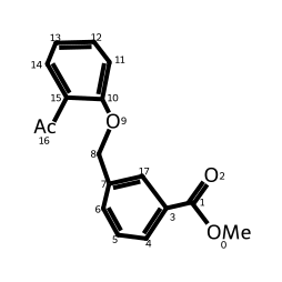 COC(=O)c1cccc(COc2ccccc2C(C)=O)c1